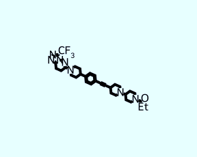 CCC(=O)N1CCC(N2CCC(C#Cc3ccc(C4CCN(C5=Nn6c(nnc6C(F)(F)F)CC5)CC4)cc3)CC2)CC1